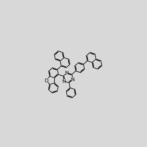 c1ccc(-c2nc(-c3ccc(-c4cccc5ccccc45)cc3)nc(-c3c(-c4cccc5ccccc45)ccc4oc5ccccc5c34)n2)cc1